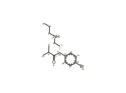 CCCNCC[C@@H](C(=O)C(C)C)c1ccc(Br)cc1